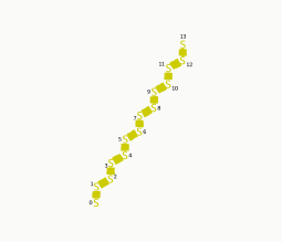 S=S=S=S=S=S=S=S=S=S=S=S=S=S